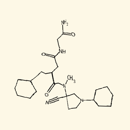 CN(C(=O)C(CC(=O)NCC(N)=O)CC1CCCCC1)C1(C#N)CCN(C2CCCCC2)C1